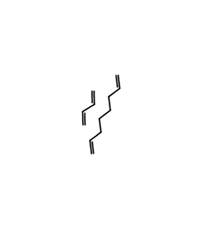 C=CC=C.C=CCCCCC=C